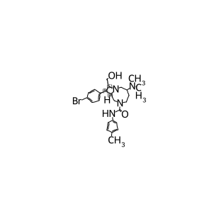 Cc1ccc(NC(=O)N2CCC(N(C)C)CN3[C@H](CO)[C@H](c4ccc(Br)cc4)[C@@H]3C2)cc1